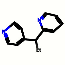 CCC(c1ccncc1)c1ccccn1